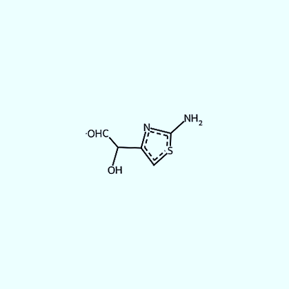 Nc1nc(C(O)[C]=O)cs1